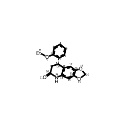 CCOc1ccccc1[C@H]1CC(=O)Nc2cc3c(cc21)OCO3